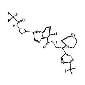 O=C(NCC(c1cnc(C(F)(F)F)nc1)N1CCOCC1)c1c(Cl)ccc2nc(N3CCC(NC(=O)C(F)(F)F)C3)ccc12